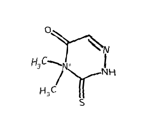 C[N+]1(C)C(=O)C=NNC1=S